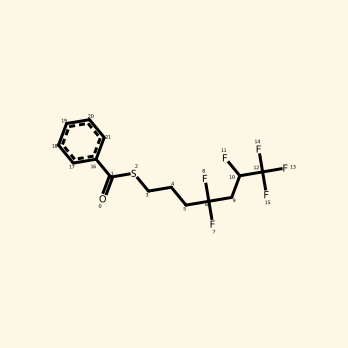 O=C(SCCCC(F)(F)CC(F)C(F)(F)F)c1ccccc1